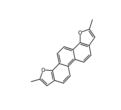 Cc1cc2ccc3c4ccc5cc(C)oc5c4ccc3c2o1